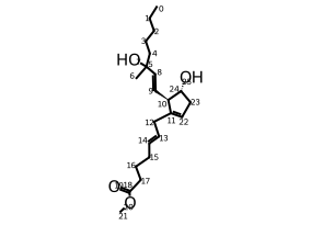 CCCCCC(C)(O)C=C[C@@H]1C(CC=CCCCC(=O)OC)=CC[C@H]1O